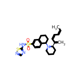 C=C(/C=C\C=C/C)[C@H]1CCCCN1[C@@H]1CCCc2cc(S(=O)(=O)Nc3ncns3)ccc21